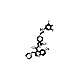 COc1ccc2ncc(CN3CCOCC3)c(C(O)CCC3(C(=O)O)CCN(CCNc4cc(F)c(F)c(F)c4)CC3)c2c1